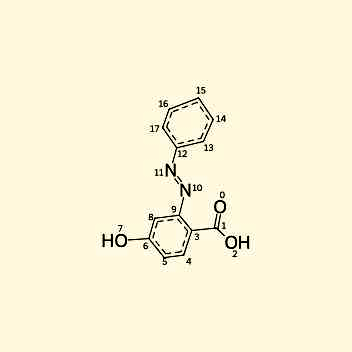 O=C(O)c1ccc(O)cc1N=Nc1ccccc1